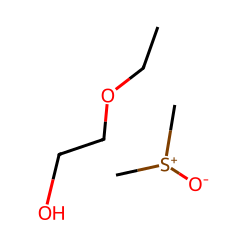 CCOCCO.C[S+](C)[O-]